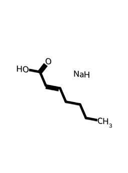 CCCCC=CC(=O)O.[NaH]